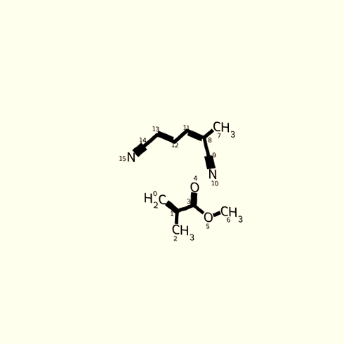 C=C(C)C(=O)OC.CC(C#N)=CC=CC#N